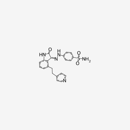 NS(=O)(=O)c1ccc(NN=C2C(=O)Nc3cccc(CCc4ccncc4)c32)cc1